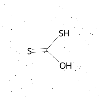 OC(=S)S